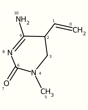 C=CC1CN(C)C(=O)N=C1N